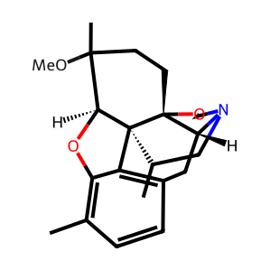 COC1(C)CC[C@]23OCN4CC(C)[C@@]25c2c(ccc(C)c2O[C@@H]15)C[C@@H]43